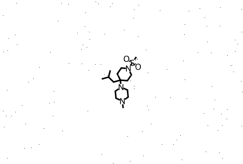 CC(C)CC1(N2CCN(C)CC2)CCN(S(C)(=O)=O)CC1